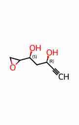 C#C[C@H](O)C[C@H](O)C1CO1